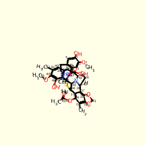 COc1cc2c(cc1O)CCN(C)[C@]21CS[C@@H]2c3c(OC(C)=O)c(C)c4c(c3[C@H](COC1=O)N1C2C2N[C@H](Cc3cc(C)c(OC)c(O)c32)[C@@H]1O)OCO4